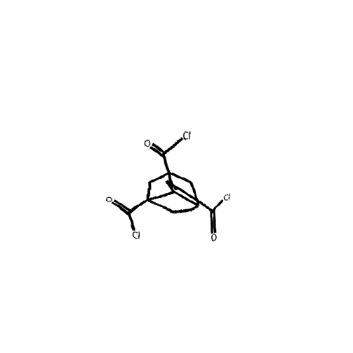 O=C(Cl)C1=C2C3CC(C(=O)Cl)(C1)CC2(C(=O)Cl)C3